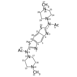 CC(=O)N(c1nc2cc3nc(N(C(C)=O)N4CCN(C)CC4)sc3cc2s1)N1CCN(C)CC1